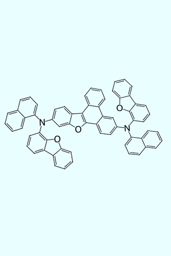 c1ccc2c(N(c3ccc4c(c3)oc3c5ccc(N(c6cccc7ccccc67)c6cccc7c6oc6ccccc67)cc5c5ccccc5c43)c3cccc4c3oc3ccccc34)cccc2c1